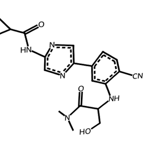 CN(C)C(=O)C(CO)Nc1cc(-c2cnc(NC(=O)C3CC3)cn2)ccc1C#N